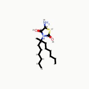 CCCCCCC(C)(CCCCCC)N1C(=O)SC(N)C1=O